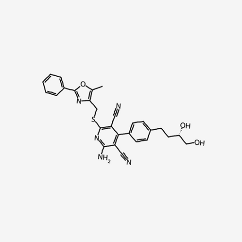 Cc1oc(-c2ccccc2)nc1CSc1nc(N)c(C#N)c(-c2ccc(CC[C@H](O)CO)cc2)c1C#N